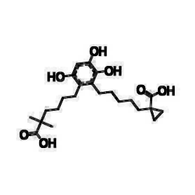 CC(C)(CCCCc1c(O)cc(O)c(O)c1CCCCCC1(C(=O)O)CC1)C(=O)O